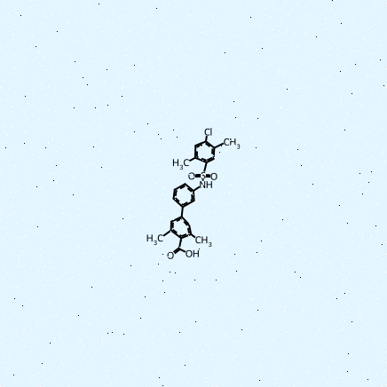 Cc1cc(S(=O)(=O)Nc2cccc(-c3cc(C)c(C(=O)O)c(C)c3)c2)c(C)cc1Cl